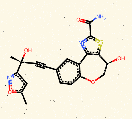 Cc1cc([C@](C)(O)C#Cc2ccc3c(c2)-c2nc(C(N)=O)sc2[C@@H](O)CO3)no1